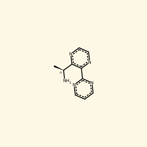 C[C@H](N)c1nccnc1-c1ncccn1